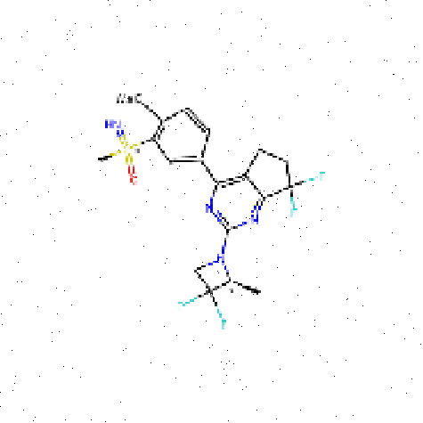 COc1ccc(-c2nc(N3CC(F)(F)[C@@H]3C)nc3c2CCC3(F)F)cc1[S@@](C)(=N)=O